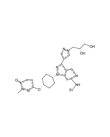 CCNc1cc2c(cn1)c(-c1cnn(C[C@@H](O)CO)c1)nn2[C@H]1CC[C@@H](Oc2ccc(=O)n(C)n2)CC1